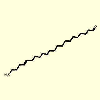 CCCCC=CCCCCCCCCCCCCCCCCC=O